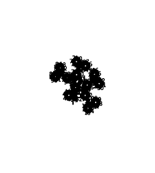 N#Cc1c(-n2c3ccc(-n4c5ccccc5c5ccccc54)cc3c3cc(-n4c5ccccc5c5ccccc54)ccc32)cc(-c2ccccc2C(F)(F)F)cc1-n1c2ccc(-n3c4ccccc4c4ccccc43)cc2c2cc(-n3c4ccccc4c4ccccc43)ccc21